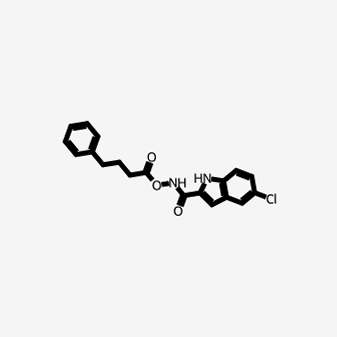 O=C(CCCc1ccccc1)ONC(=O)c1cc2cc(Cl)ccc2[nH]1